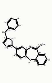 CCCC1=Nc2cc(-c3ncc(Cc4ccccc4)o3)ccc2Sc2ccccc21